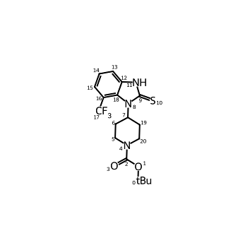 CC(C)(C)OC(=O)N1CCC(n2c(=S)[nH]c3cccc(C(F)(F)F)c32)CC1